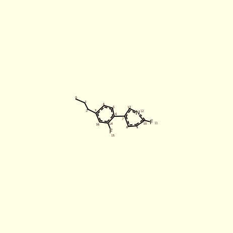 CCCc1ccc(-c2ccc(F)nc2)c(F)c1